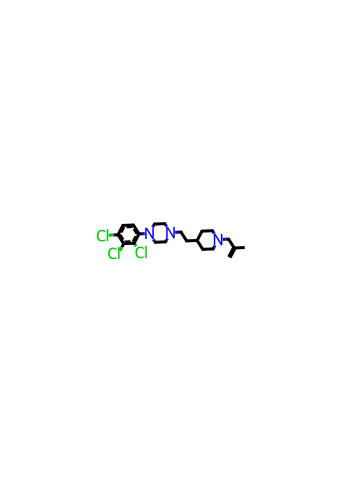 C=C(C)CN1CCC(CCN2CCN(c3ccc(Cl)c(Cl)c3Cl)CC2)CC1